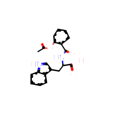 CC(=O)Oc1ccccc1C(=O)NC(Cc1c[nH]c2ccccc12)C(=O)O